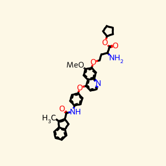 COc1cc2c(Oc3ccc(NC(=O)C4=C(C)c5ccccc5C4)cc3)ccnc2cc1OCCC(N)C(=O)OC1CCCC1